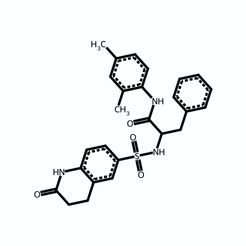 Cc1ccc(NC(=O)C(Cc2ccccc2)NS(=O)(=O)c2ccc3c(c2)CCC(=O)N3)c(C)c1